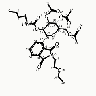 CCCCNC(=O)O[C@H]1[C@@H](OC(C)=O)[C@H](OC(C)=O)[C@@H](COC(C)=O)O[C@@H]1c1cccc2c1C(=O)N(CCOCC)C2=O